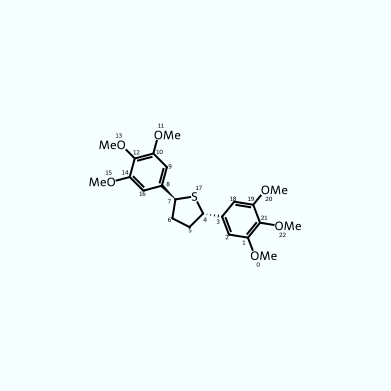 COc1cc([C@@H]2CC[C@@H](c3cc(OC)c(OC)c(OC)c3)S2)cc(OC)c1OC